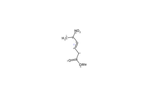 COC(=O)C/C=C/C(C)[N+](=O)[O-]